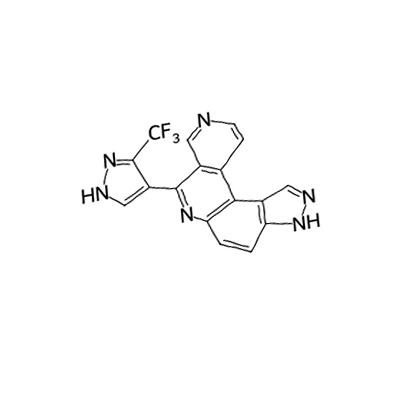 FC(F)(F)c1n[nH]cc1-c1nc2ccc3[nH]ncc3c2c2ccncc12